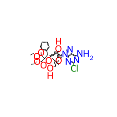 C#C[C@@H](O)[C@@H](O[C@@H](CO)COC(Cc1ccccc1)(C(=O)OCC)C(=O)OCC)n1cnc2c(N)nc(Cl)nc21